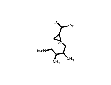 CCCC(CC)C1C[C@@H]1CC(C)C(C)CNC